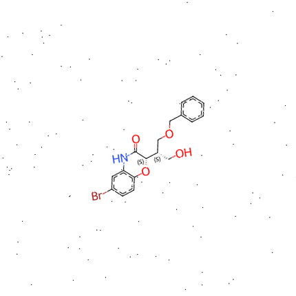 O=C1Nc2cc(Br)ccc2O[C@H]1[C@@H](CO)COCc1ccccc1